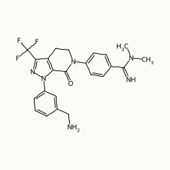 CN(C)C(=N)c1ccc(N2CCc3c(C(F)(F)F)nn(-c4cccc(CN)c4)c3C2=O)cc1